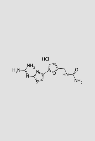 Cl.NC(=O)NCc1ccc(-c2csc(N=C(N)N)n2)o1